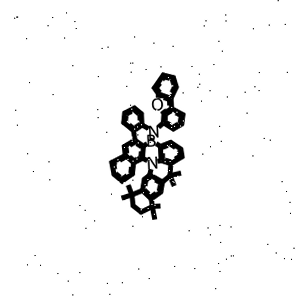 CC1(C)CCC(C)(C)c2cc3c(cc21)N1c2c(cccc2C3(C)C)B2c3c(cc4ccccc4c31)-c1ccccc1N2c1cccc2c1oc1ccccc12